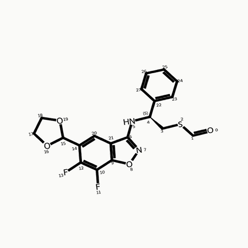 O=CSC[C@@H](Nc1noc2c(F)c(F)c(C3OCCO3)cc12)c1ccccc1